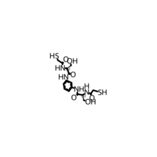 O=C(CS)N[C@@H](CO)C(=O)Nc1cccc(NC(=O)[C@H](CO)NC(=O)CS)c1